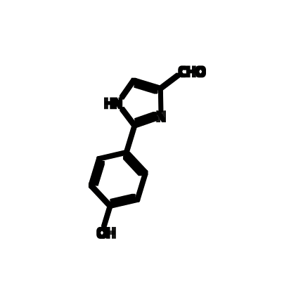 O=Cc1c[nH]c(-c2ccc(O)cc2)n1